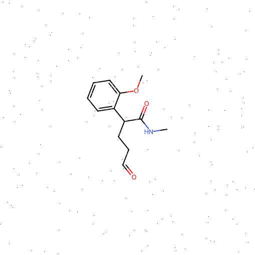 CNC(=O)C(CCC=O)c1ccccc1OC